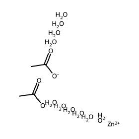 CC(=O)[O-].CC(=O)[O-].O.O.O.O.O.O.O.O.O.O.[Zn+2]